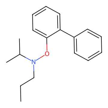 CCCN(Oc1ccccc1-c1ccccc1)C(C)C